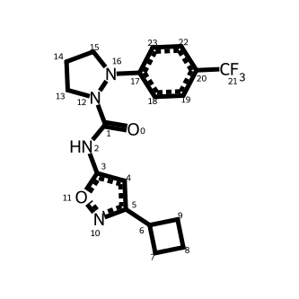 O=C(Nc1cc(C2CCC2)no1)N1CCCN1c1ccc(C(F)(F)F)cc1